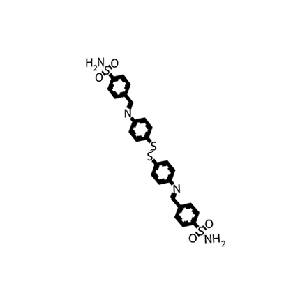 NS(=O)(=O)c1ccc(/C=N/c2ccc(SSc3ccc(/N=C/c4ccc(S(N)(=O)=O)cc4)cc3)cc2)cc1